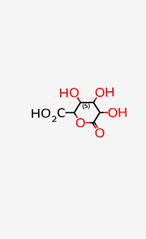 O=C1OC(C(=O)O)[C@@H](O)C(O)C1O